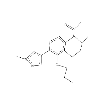 CCCOc1c(-c2cnn(C)c2)ccc2c1CCC(C)N2C(C)=O